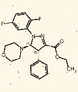 CCOC(=O)C1=NN(c2cc(F)ccc2F)[C@H](N2CCOCC2)[C@H]1c1ccccc1